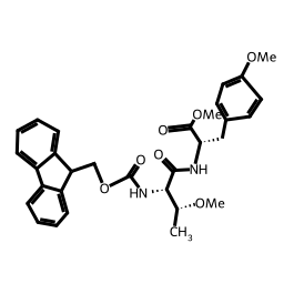 COC(=O)[C@H](Cc1ccc(OC)cc1)NC(=O)[C@@H](NC(=O)OCC1c2ccccc2-c2ccccc21)[C@@H](C)OC